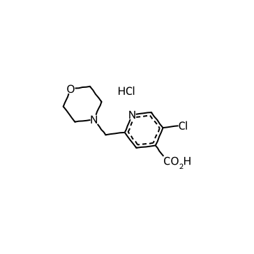 Cl.O=C(O)c1cc(CN2CCOCC2)ncc1Cl